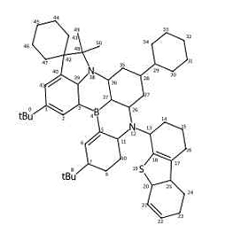 CC(C)(C)C1=CC2B3C4=CC(C(C)(C)C)CCC4N(C4CCCC5=C4SC4C=CCCC54)C4CC(C5CCCCC5)CC(C34)N3C2C(=C1)C1(CCCCC1)C3(C)C